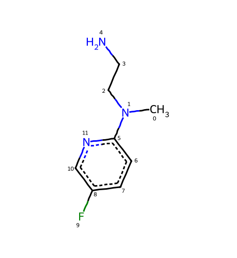 CN(CCN)c1ccc(F)cn1